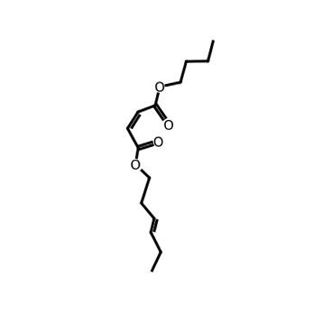 CCC=CCCOC(=O)/C=C\C(=O)OCCCC